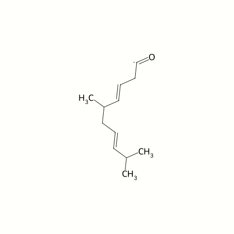 CC(C)C=CCC(C)C=CC[C]=O